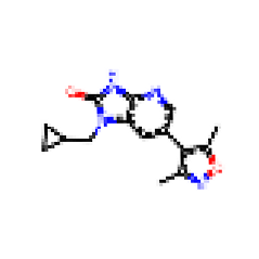 Cc1noc(C)c1-c1cnc2[nH]c(=O)n(CC3CC3)c2c1